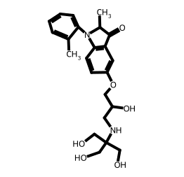 Cc1ccccc1N1c2ccc(OCC(O)CNC(CO)(CO)CO)cc2C(=O)C1C